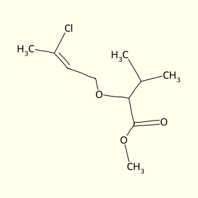 COC(=O)C(OCC=C(C)Cl)C(C)C